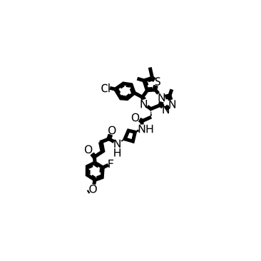 COc1ccc(C(=O)/C=C/C(=O)N[C@H]2C[C@H](NC(=O)C[C@@H]3N=C(c4ccc(Cl)cc4)c4c(sc(C)c4C)-n4c(C)nnc43)C2)c(F)c1